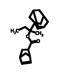 CCC(C)(OC(=O)C1CC2C=CC1C2)C12CC3CC(CC(C3)C1)C2